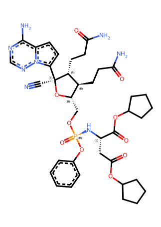 N#C[C@@]1(c2ccc3c(N)ncnn23)O[C@@H](CO[P@](=O)(N[C@@H](CC(=O)OC2CCCC2)C(=O)OC2CCCC2)Oc2ccccc2)[C@H](CCC(N)=O)[C@H]1CCC(N)=O